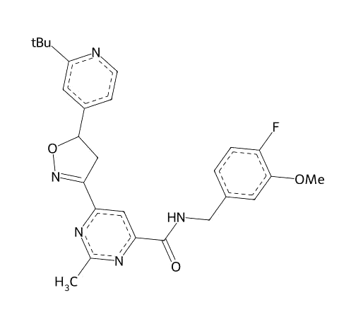 COc1cc(CNC(=O)c2cc(C3=NOC(c4ccnc(C(C)(C)C)c4)C3)nc(C)n2)ccc1F